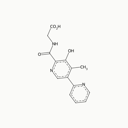 Cc1c(-c2ccccn2)cnc(C(=O)NCC(=O)O)c1O